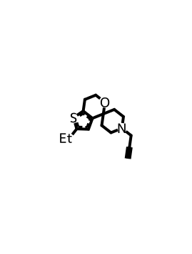 C#CCN1CCC2(CC1)OCCc1sc(CC)cc12